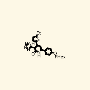 CCCCCCOc1ccc(-c2cc(-c3ccc(CC)s3)c(-c3nnn[nH]3)c(=O)[nH]2)cc1